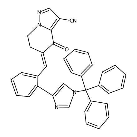 N#Cc1cnn2c1C(=O)C(=Cc1ccccc1-c1cn(C(c3ccccc3)(c3ccccc3)c3ccccc3)cn1)CC2